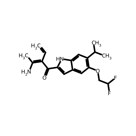 C=C/C(C(=O)c1cc2cc(OCC(F)F)c(C(C)C)cc2[nH]1)=C(\C)N